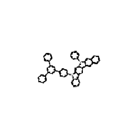 c1ccc(-c2cc(-c3ccccc3)cc(-c3ccc(-n4c5ccccc5c5cc6c7cc8ccccc8cc7n(-c7ccccc7)c6cc54)cc3)c2)cc1